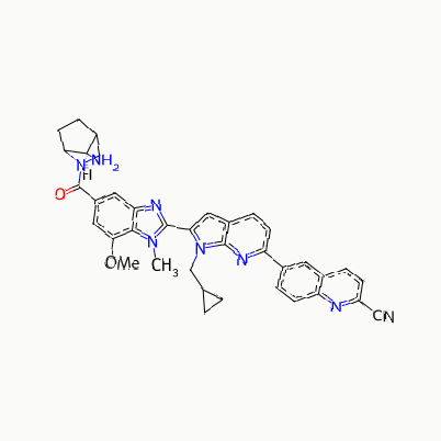 COc1cc(C(=O)N2CC3CCC2[C@@H]3N)cc2nc(-c3cc4ccc(-c5ccc6nc(C#N)ccc6c5)nc4n3CC3CC3)n(C)c12